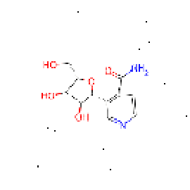 NC(=O)c1ccncc1[C@H]1O[C@@H](CO)[C@H](O)[C@@H]1O